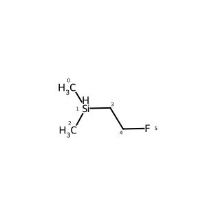 C[SiH](C)CCF